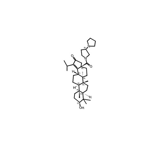 CC(C)C1=C2[C@H]3CC[C@@H]4[C@@]5(C)CC[C@H](O)C(C)(C)[C@@H]5CC[C@@]4(C)[C@]3(C)CC[C@@]2(C(=O)N2CC[C@@H](N3CCCC3)C2)CC1=O